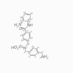 NCc1ccc(CN(Cc2ccc(C(=O)Nc3ccccc3N)cc2)C(=O)O)cc1